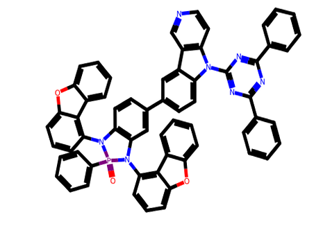 O=P1(c2ccccc2)N(c2cccc3oc4ccccc4c23)c2ccc(-c3ccc4c(c3)c3cnccc3n4-c3nc(-c4ccccc4)nc(-c4ccccc4)n3)cc2N1c1cccc2oc3ccccc3c12